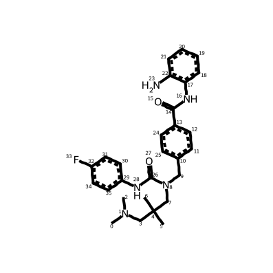 CN(C)CC(C)(C)CN(Cc1ccc(C(=O)Nc2ccccc2N)cc1)C(=O)Nc1ccc(F)cc1